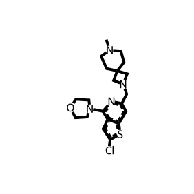 CN1CCC2(CC1)CN(Cc1cc3sc(Cl)cc3c(N3CCOCC3)n1)C2